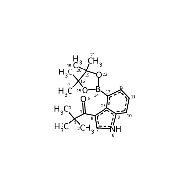 CC(C)(C)C(=O)c1c[nH]c2cccc(B3OC(C)(C)C(C)(C)O3)c12